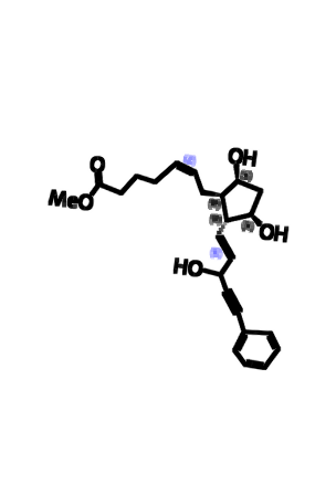 COC(=O)CCC/C=C\C[C@@H]1[C@@H](/C=C/C(O)C#Cc2ccccc2)[C@H](O)C[C@@H]1O